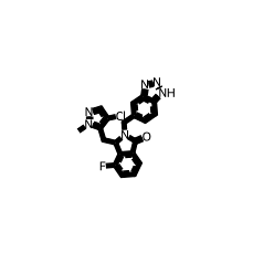 Cn1ncc(Cl)c1CC1c2c(F)cccc2C(=O)N1Cc1ccc2[nH]nnc2c1